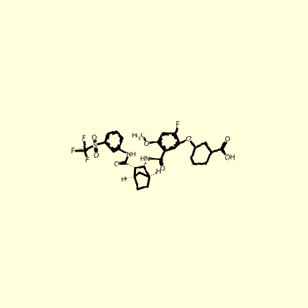 COc1cc(F)c(OC2CCCC(C(=O)O)C2)cc1C(=O)N[C@@H]1[C@H]2CC[C@H](C2)[C@@H]1C(=O)Nc1cccc(S(=O)(=O)C(F)(F)F)c1